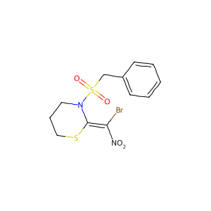 O=[N+]([O-])C(Br)=C1SCCCN1S(=O)(=O)Cc1ccccc1